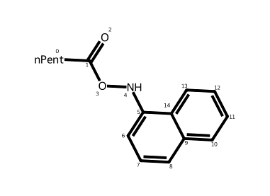 CCCCCC(=O)ONc1cccc2ccccc12